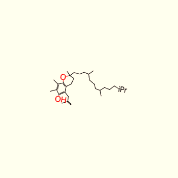 C=C(C)Cc1c(O)c(C)c(C)c2c1CCC(C)(CCCC(C)CCCC(C)CCCC(C)C)O2